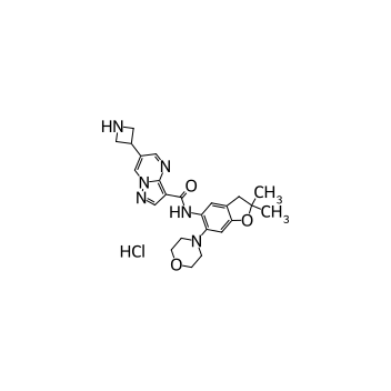 CC1(C)Cc2cc(NC(=O)c3cnn4cc(C5CNC5)cnc34)c(N3CCOCC3)cc2O1.Cl